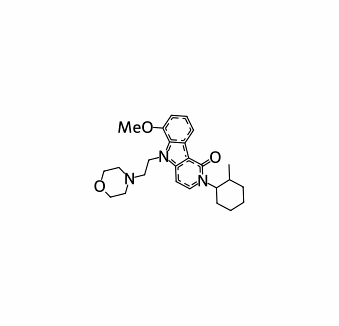 COc1cccc2c3c(=O)n(C4CCCCC4C)ccc3n(CCN3CCOCC3)c12